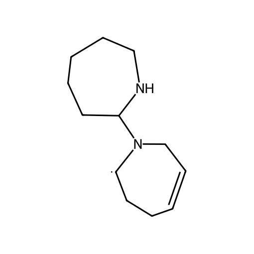 [CH]1CCC=CCN1C1CCCCCN1